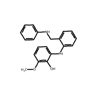 COc1cccc(Pc2ccccc2CNc2ccccc2)c1O